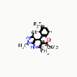 CCc1nn(C)c2c1C(c1cccc(C(F)(F)F)c1)C(C(=O)OC)=C(C)N2